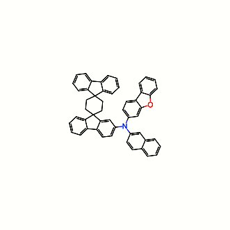 c1ccc2c(c1)-c1ccccc1C21CCC2(CC1)c1ccccc1-c1ccc(N(c3ccc4ccccc4c3)c3ccc4c(c3)oc3ccccc34)cc12